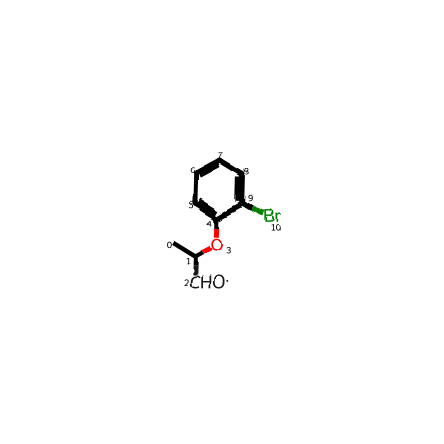 CC([C]=O)Oc1ccccc1Br